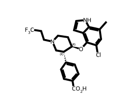 Cc1cc(Cl)c(O[C@@H]2CCN(CCC(F)(F)F)C[C@H]2c2ccc(C(=O)O)cc2)c2cc[nH]c12